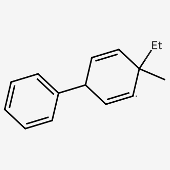 CCC1(C)[C]=CC(c2ccccc2)C=C1